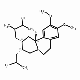 COc1cc2c(cc1OC)[C@H]1C[C@@H](CC(C)C(C)N)[C@@H](CC(C)C)CN1CC2